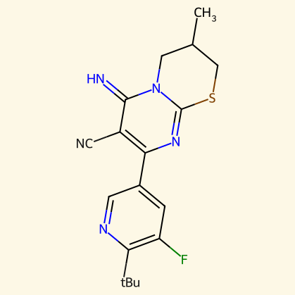 CC1CSc2nc(-c3cnc(C(C)(C)C)c(F)c3)c(C#N)c(=N)n2C1